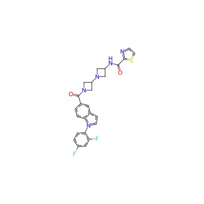 O=C(NC1CN(C2CN(C(=O)c3ccc4c(ccn4-c4ccc(F)cc4F)c3)C2)C1)c1nccs1